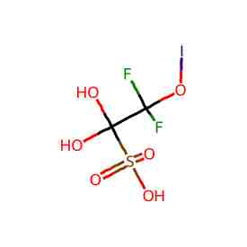 O=S(=O)(O)C(O)(O)C(F)(F)OI